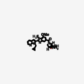 COc1cc(C(=O)N2C[C@H]3C[C@H](O)[C@@H]2[C@@H]3N)cc2nc(-c3cc4cccnc4n3CC3CC3)n(C)c12